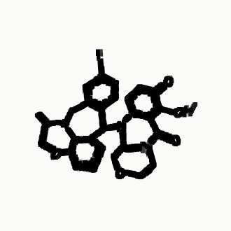 CC1COc2cccc3c2N1Cc1cc(F)ccc1C3N1C2COCCN2C(=O)c2c(O)c(=O)ccn21